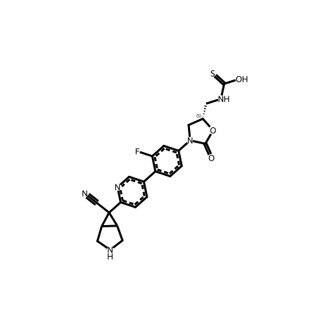 N#CC1(c2ccc(-c3ccc(N4C[C@H](CNC(O)=S)OC4=O)cc3F)cn2)C2CNCC21